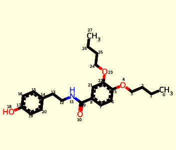 CCCCOc1ccc(C(=O)NCCc2ccc(O)cc2)cc1OCCCC